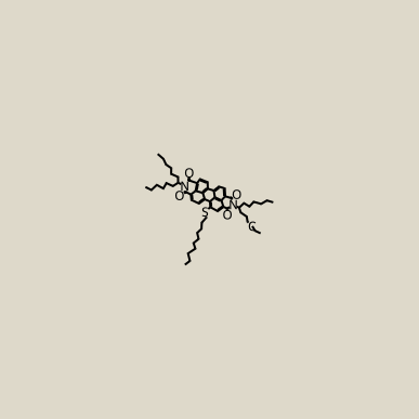 CCCCCCCCCCSc1cc2c3c(ccc4c5ccc6c7c(ccc(c1c34)c75)C(=O)N(C(CCCCCC)CCCCCC)C6=O)C(=O)N(C(CCCCCC)CCCCCC)C2=O